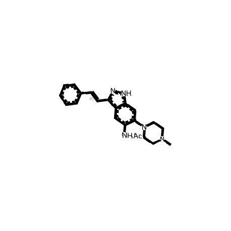 CC(=O)Nc1cc2c(/C=C/c3ccccc3)n[nH]c2cc1N1CCN(C)CC1